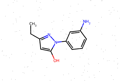 CCc1cc(O)n(-c2cccc(N)c2)n1